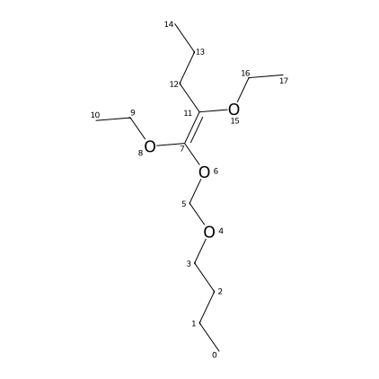 CCCCOCOC(OCC)=C(CCC)OCC